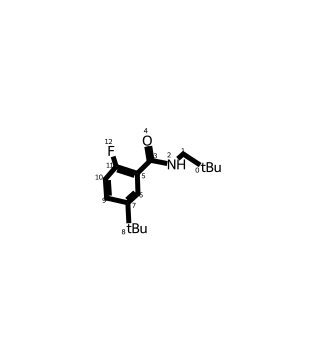 CC(C)(C)CNC(=O)c1cc(C(C)(C)C)ccc1F